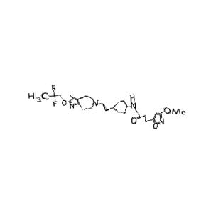 COc1cc(CCC(=O)N[C@H]2CC[C@H](CCN3CCc4nc(OCC(C)(F)F)sc4CC3)CC2)on1